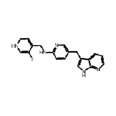 FC1=CNCC=C1CNc1ccc(Cc2c[nH]c3ncccc23)cn1